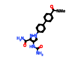 CNC(=O)c1ccc(-c2ccc(-n3cc(NC(N)=O)c(C(N)=O)n3)cc2)cc1